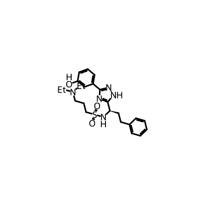 CCN(CC)CCCS(=O)(=O)N[C@H](CCc1ccccc1)c1nc(-c2cccc(O)c2)n[nH]1